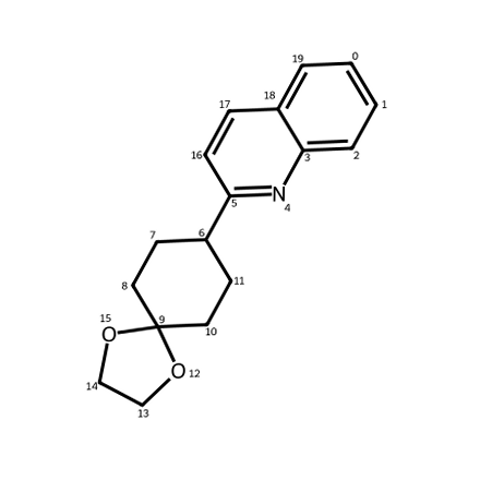 c1ccc2nc(C3CCC4(CC3)OCCO4)ccc2c1